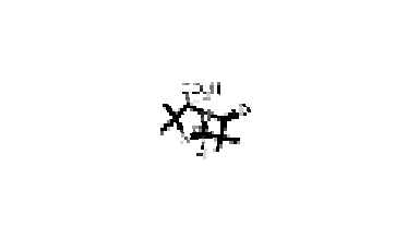 CC1(C)S[C@H]2N(C(=O)C2(I)I)[C@H]1C(=O)O